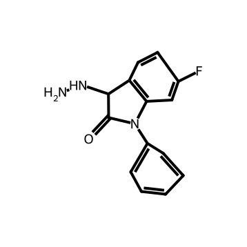 NNC1C(=O)N(c2ccccc2)c2cc(F)ccc21